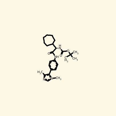 Cc1ncn(C)c1-c1ccc(NC(=O)[C@@H](NC(=O)OC(C)(C)C)C2CCCCCC2)cc1